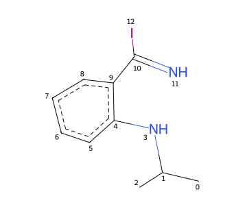 CC(C)Nc1ccccc1C(=N)I